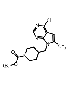 CC(C)(C)OC(=O)N1CCC(Cn2c(C(F)(F)F)cc3c(Cl)ncnc32)CC1